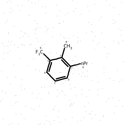 CCCc1cccc(C(F)(F)F)c1C